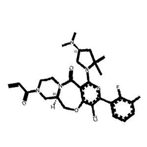 C=CC(=O)N1CCN2C(=O)c3c(N4C[C@@H](N(C)C)CC4(C)C)nc(-c4cccc(C)c4F)c(Cl)c3OC[C@H]2C1